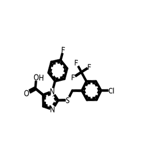 O=C(O)c1cnc(SCc2ccc(Cl)cc2C(F)(F)F)n1-c1ccc(F)cc1